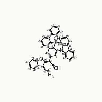 C#C/C(c1ccc2c(c1)-n1c3ccccc3c3cccc(c31)C2(C)c1ccccc1-c1ccccc1)=c1/oc2ccccc2/c1=C/C